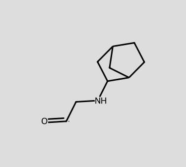 O=[C]CNC1CC2CCC1C2